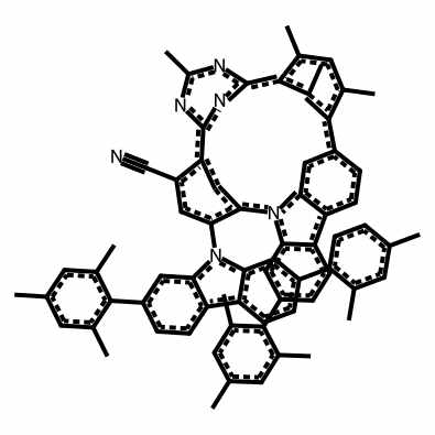 Cc1ccc(-c2ccc3c4ccc(-c5c(C)cc(C)cc5C)cc4n(-c4cc(C#N)c5cc4n4c6cc(-c7c(C)cc(C)cc7C)ccc6c6ccc(cc64)c4c(C)cc(C)c(c4C)c4nc(C)nc5n4)c3c2)c(C)c1